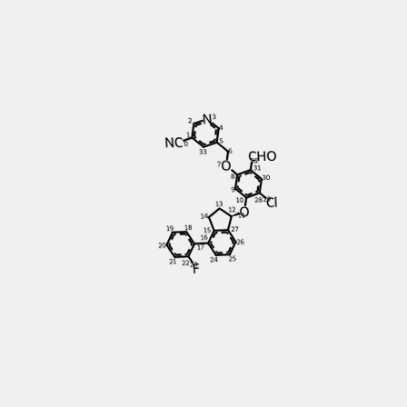 N#Cc1cncc(COc2cc(O[C@@H]3CCc4c(-c5ccccc5F)cccc43)c(Cl)cc2C=O)c1